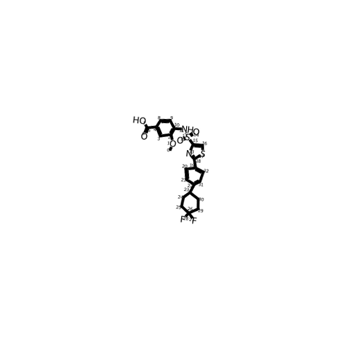 COc1cc(C(=O)O)ccc1NS(=O)(=O)c1csc(-c2ccc(C3CCC(F)(F)CC3)cc2)n1